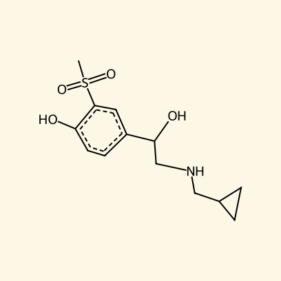 CS(=O)(=O)c1cc(C(O)CNCC2CC2)ccc1O